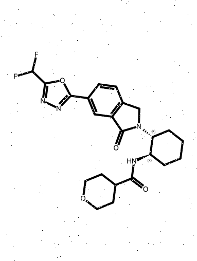 O=C(N[C@@H]1CCCC[C@H]1N1Cc2ccc(-c3nnc(C(F)F)o3)cc2C1=O)C1CCOCC1